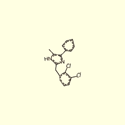 Cc1[nH]c(Cc2cccc(Cl)c2Cl)nc1-c1ccccc1